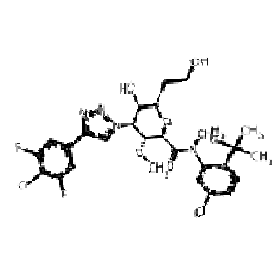 CO[C@@H]1[C@@H](n2cc(-c3cc(F)c(Cl)c(F)c3)nn2)[C@@H](O)[C@@H](CCO)O[C@H]1C(=O)N(C)c1cc(Cl)ccc1C(C)(C)C